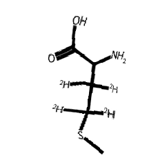 [2H]C([2H])(SC)C([2H])([2H])C(N)C(=O)O